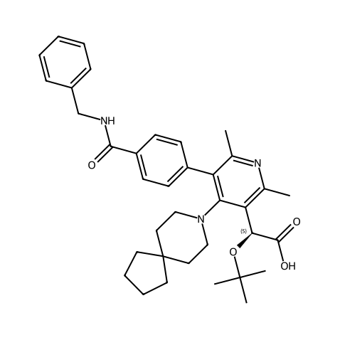 Cc1nc(C)c([C@H](OC(C)(C)C)C(=O)O)c(N2CCC3(CCCC3)CC2)c1-c1ccc(C(=O)NCc2ccccc2)cc1